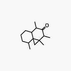 CC1C(=O)C(C)C2(C)CC23C(C)CCCC13